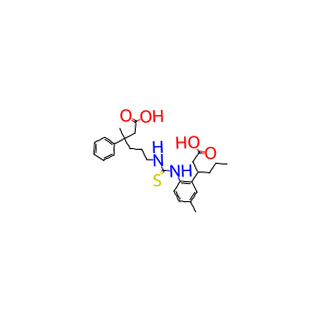 CCCC(CC(=O)O)c1cc(C)ccc1NC(=S)NCCCC(C)(CC(=O)O)c1ccccc1